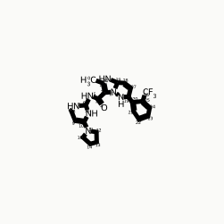 CC1=C(C(=O)NC2NCC=C(N3CCCC3)N2)N2NC(c3ccccc3C(F)(F)F)C=CC2N1